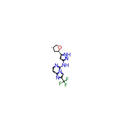 FC(F)(F)c1cn2c(Nc3cc([C@H]4C[CH]CO4)[nH]n3)nccc2n1